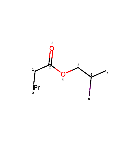 CC(C)CC(=O)OCC(C)I